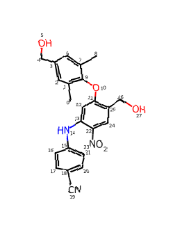 Cc1cc(CO)cc(C)c1Oc1cc(Nc2ccc(C#N)cc2)c([N+](=O)[O-])cc1CO